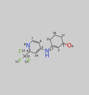 O=C1C=C(Nc2ccnc(C(F)(F)F)c2)CCC1